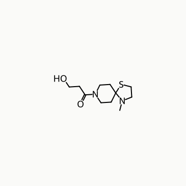 CN1CCSC12CCN(C(=O)CCO)CC2